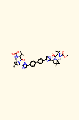 COC(=O)N[C@@H](C(=O)N1[C@@H]2C[C@H]2C[C@H]1c1nc(-c2ccc(-c3ccc(-c4c[nH]c([C@@H]5C[C@H]6C[C@H]6N5C(=O)[C@H](NC(=O)O)C(C)C)n4)cc3)cc2)c[nH]1)C(C)C